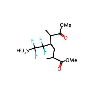 COC(=O)C(C)CC(C(C)C(=O)OC)C(F)(F)C(F)(F)S(=O)(=O)O